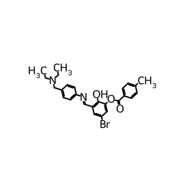 CCN(CC)Cc1ccc(N=Cc2cc(Br)cc(OC(=O)c3ccc(C)cc3)c2O)cc1